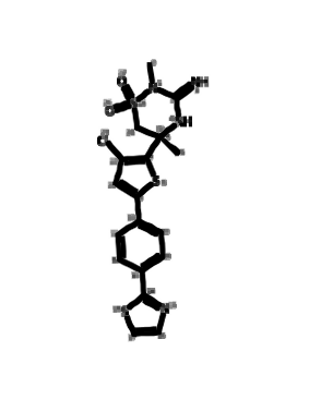 CN1C(=N)N[C@](C)(c2sc(-c3ccc(-c4nccs4)cc3)cc2Cl)CS1(=O)=O